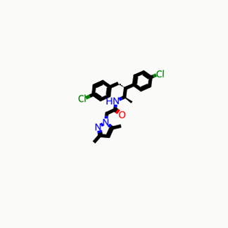 Cc1cc(C)n(CC(=O)N[C@H](C)[C@H](Cc2ccc(Cl)cc2)c2ccc(Cl)cc2)n1